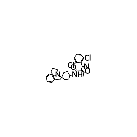 Cc1onc(-c2c(Cl)cccc2Cl)c1C(=O)NC1CCC(Cc2ccccc2)(N2CCCC2)CC1